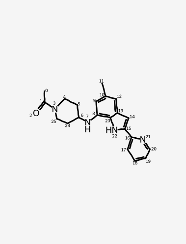 CC(=O)N1CCC(Nc2cc(C)cc3cc(-c4ccccn4)[nH]c23)CC1